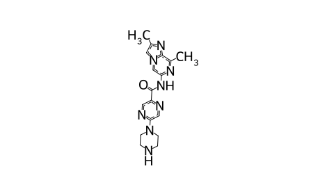 Cc1cn2cc(NC(=O)c3cnc(N4CCNCC4)cn3)nc(C)c2n1